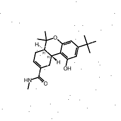 CNC(=O)C1=CC[C@@H]2[C@@H](C1)c1c(O)cc(C(C)(C)C)cc1OC2(C)C